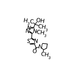 CC1CCCN1C(=O)c1csc(-c2nnc(C(C)(C)O)n2C)n1